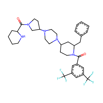 O=C(C1CCCCN1)N1CCC(N2CCN(C3CCN(C(=O)c4cc(C(F)(F)F)cc(C(F)(F)F)c4)C(Cc4ccccc4)C3)CC2)C1